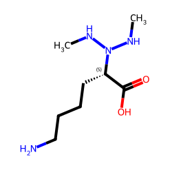 CNN(NC)[C@@H](CCCCN)C(=O)O